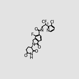 O=C1CCC(N2Cc3c(ccc(C(=O)/N=C/C(c4ncccc4Cl)C(F)(F)F)c3F)C2=O)C(=O)N1